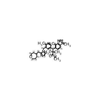 COC(=O)C(C)(C)C(c1ccc(C)c(Cn2ccnc2CC2CCCOCC2)c1)c1ccc2c(nnn2C)c1C